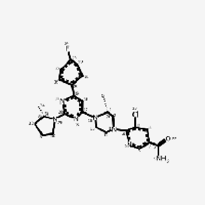 C[C@@H]1CN(c2ncc(C(N)=O)cc2Cl)CCN1c1cc(-c2ccc(F)cc2)nc(N2CCC[C@@H]2C)n1